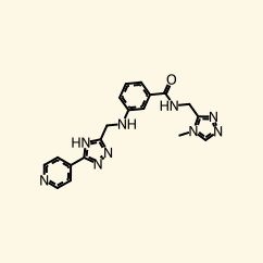 Cn1cnnc1CNC(=O)c1cccc(NCc2nnc(-c3ccncc3)[nH]2)c1